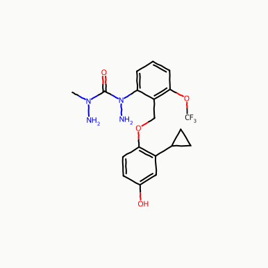 CN(N)C(=O)N(N)c1cccc(OC(F)(F)F)c1COc1ccc(O)cc1C1CC1